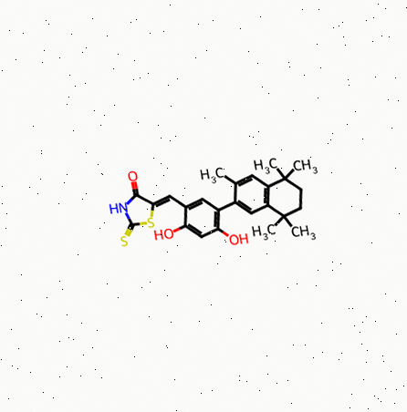 Cc1cc2c(cc1-c1cc(/C=C3\SC(=S)NC3=O)c(O)cc1O)C(C)(C)CCC2(C)C